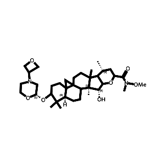 CON(C)C(=O)C1C[C@@H](C)C2C(O1)[C@H](O)[C@@]1(C)C3CC[C@H]4C(C)(C)C(O[C@H]5CN(C6COC6)CCO5)CCC45CC35CCC21C